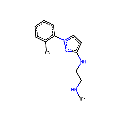 CC(C)NCCNc1ccn(-c2ccccc2C#N)n1